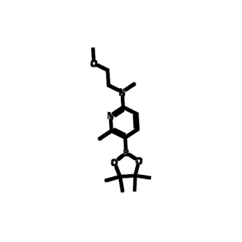 COCCN(C)c1ccc(B2OC(C)(C)C(C)(C)O2)c(C)n1